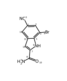 N#Cc1cc(Br)c2[nH]c(C(N)=O)cc2c1